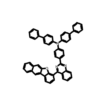 c1ccc(-c2ccc(N(c3ccc(-c4ccccc4)cc3)c3ccc(-c4nc(-c5cccc6c5oc5cc7ccccc7cc56)c5ccccc5n4)cc3)cc2)cc1